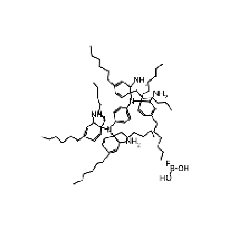 CCCCCCC1=CC(N)C(CCCCCC)(N(c2ccc(N(C3(CCCCCC)C=CC(CCCCCC)=CC3N)C3(CCCCCC)C=CC(CCCCCC)=CC3N)cc2)C2(CCCCCC)C=CC(CCCCCC)=CC2N)C=C1.OB(O)F